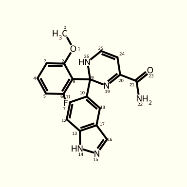 COc1cccc(F)c1C1(c2ccc3[nH]ncc3c2)N=C(C(N)=O)C=CN1